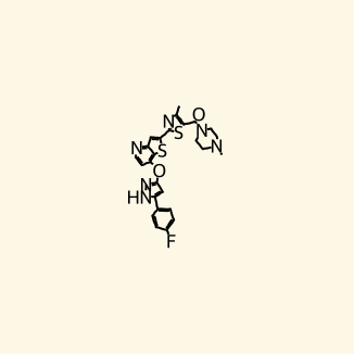 Cc1nc(-c2cc3nccc(Oc4cc(-c5ccc(F)cc5)[nH]n4)c3s2)sc1C(=O)N1CCN(C)CC1